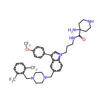 NC1(C(=O)NCCCn2cc(-c3ccc(OC(F)(F)F)cc3)c3cc(CN4CCN(Cc5c(C(F)(F)F)cccc5C(F)(F)F)CC4)ccc32)CCNCC1